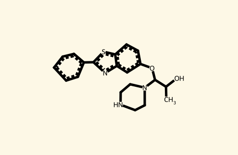 CC(O)C(Oc1ccc2sc(-c3ccccc3)nc2c1)N1CCNCC1